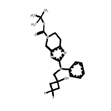 CC(C)(C)OC(=O)N1CCc2nc(N(CC3(O)CC(F)(F)C3)c3ccccc3)sc2C1